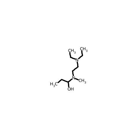 CC[C](O)N(C)CCN(CC)CC